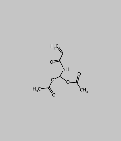 C=CC(=O)NC(OC(C)=O)OC(C)=O